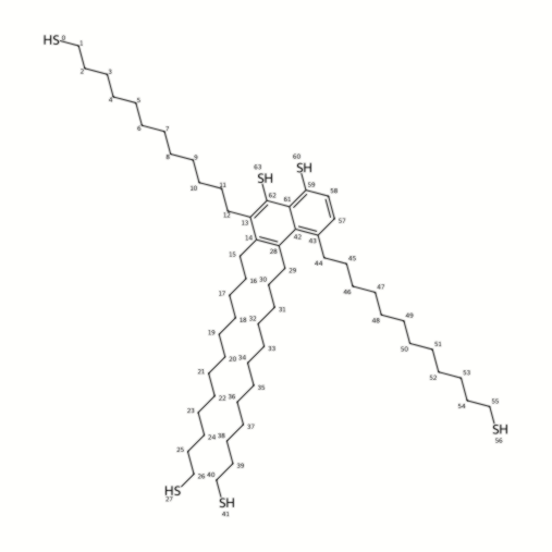 SCCCCCCCCCCCCc1c(CCCCCCCCCCCCS)c(CCCCCCCCCCCCS)c2c(CCCCCCCCCCCCS)ccc(S)c2c1S